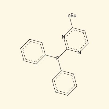 CCCCc1ccnc(P(c2ccccc2)c2ccccc2)n1